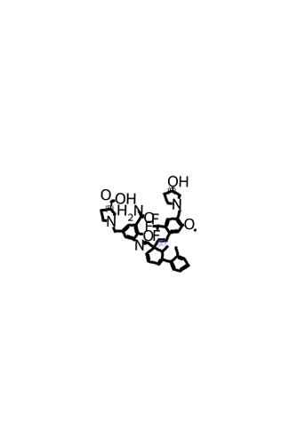 COc1cc(/C=C/C2(c3nc4cc(CN5CC[C@@H](C(=O)O)C5)cc(C(N)=O)c4o3)C=CC=C(c3ccccc3C)C2C)c(C(F)(F)F)cc1CN1CC[C@@H](O)C1